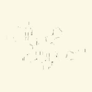 CC[C@H](C)[C@H](NC(=O)[C@@H](N)Cc1ccc(O)cc1)C(=O)N[C@@H](CC(C)C)C(=O)N[C@@H](Cc1c[nH]c2ccccc12)C(=O)N[C@H](C(=O)O)[C@@H](C)O